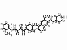 COc1cc2c(Oc3ccc(NC(=O)C(=O)NCc4ccccc4C)cc3F)ccnc2cc1CCC1CCNCC1